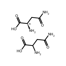 NC(=O)CC(N)C(=O)O.NC(=O)C[C@@H](N)C(=O)O